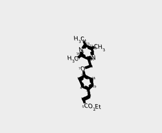 CCOC(=O)C=Cc1ccc(OCc2nc(C)c(C)nc2C)cc1